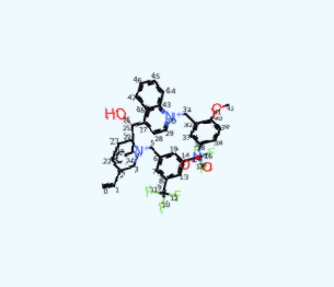 C=CC1C[N+]2(Cc3cc(C(F)(F)F)cc(C(F)(F)F)c3)CCC1CC2[C@H](O)c1cc[n+](Cc2cc([N+](=O)[O-])ccc2OC)c2ccccc12